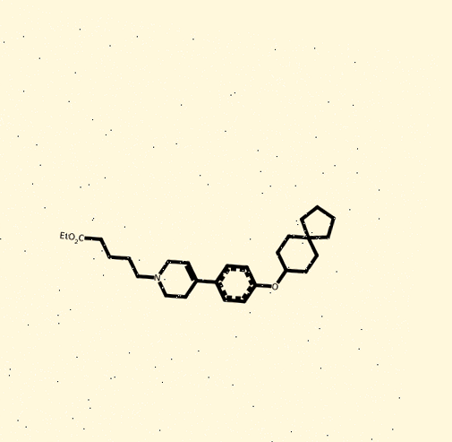 CCOC(=O)CCCCN1CC=C(c2ccc(OC3CCC4(CCCC4)CC3)cc2)CC1